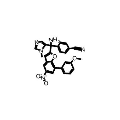 COc1cccc(-c2cc([N+](=O)[O-])cc3cc(C(N)(c4ccc(C#N)cc4)c4cncn4C)oc23)c1